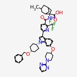 CC1CC2CC(C1)C(NC(=O)c1ccc(-c3cn([C@H]4CC[C@@H](OCc5ccccc5)CC4)c4cc(OC5CCN(c6ncccn6)CC5)ccc34)nc1C(F)(F)F)(C(=O)O)C2